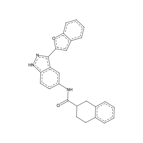 O=C(Nc1ccc2[nH]nc(-c3cc4ccccc4o3)c2c1)C1CCc2ccccc2C1